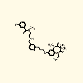 CCN1C(=O)C(C)(C)C(=O)N(C)c2cc(OCCCc3cc(CNCCN(C)C(=O)c4cccc(F)c4)ccn3)ccc21